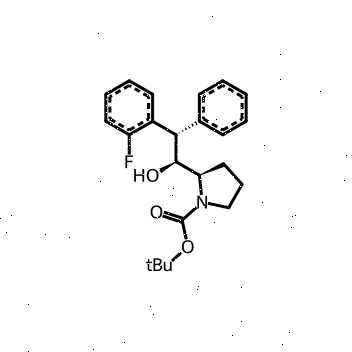 CC(C)(C)OC(=O)N1CCC[C@@H]1[C@@H](O)[C@@H](c1ccccc1)c1ccccc1F